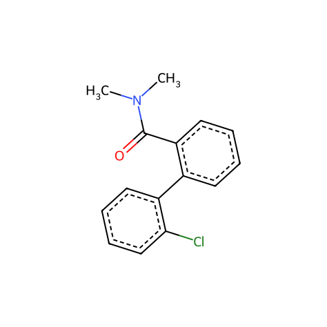 CN(C)C(=O)c1ccccc1-c1ccccc1Cl